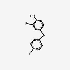 Oc1ccc(Cc2ccc(F)cc2)cc1F